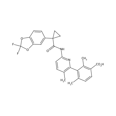 Cc1ccc(NC(=O)C2(c3ccc4c(c3)OC(F)(F)O4)CC2)nc1-c1c(C)ccc(C(=O)O)c1C